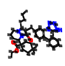 CCCCc1c(Cc2ccc(-c3ccccc3-c3nnn[nH]3)cc2)c(=O)n2n1CCCC2C1(C(=O)OCC)CCC(C)(C)CC1